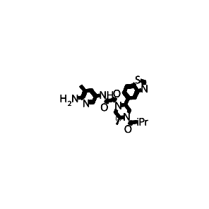 Cc1cc(NC(=O)C(=O)N2C[C@H](C)N(C(=O)C(C)C)CC2c2ccc3scnc3c2)cnc1N